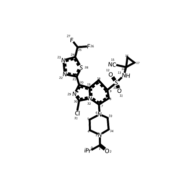 CC(C)C(=O)N1CCN(c2cc(S(=O)(=O)NC3(C#N)CC3)cc3c(-c4nnc(C(F)F)s4)nc(Cl)n23)CC1